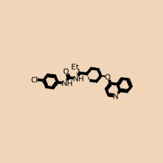 CC[C@@H](NC(=O)Nc1ccc(Cl)cc1)[C@H]1CC[C@H](Oc2ccnc3ccccc23)CC1